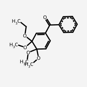 CCOC1(OC)C=C(C(=O)c2ccccc2)C=CC1(OC)OC